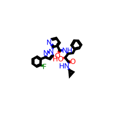 O=C(NC(Cc1ccccc1)C(O)C(=O)NC1CC1)c1cccnc1-n1ccc(-c2ccccc2F)n1